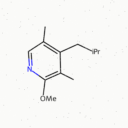 COc1ncc(C)c(CC(C)C)c1C